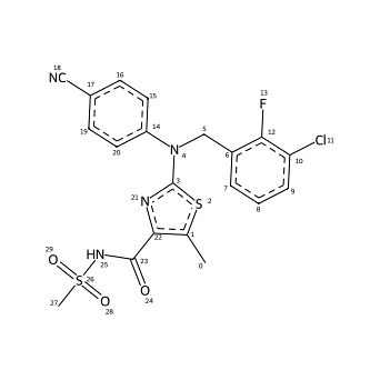 Cc1sc(N(Cc2cccc(Cl)c2F)c2ccc(C#N)cc2)nc1C(=O)NS(C)(=O)=O